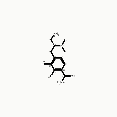 CN(C)[C@H](CN)Cc1ccc(C(N)=O)c(F)c1Cl